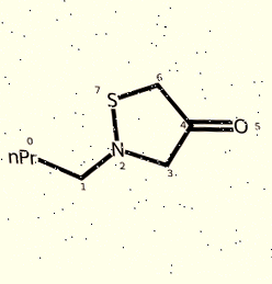 CCCCN1CC(=O)CS1